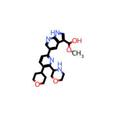 COC(O)c1c[nH]c2ncc(-c3ccc(C4CCOCC4)c(C4COCCN4)n3)cc12